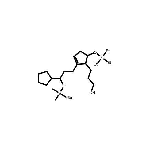 CC[Si](CC)(CC)OC1CC=C(CCC(O[Si](C)(C)C(C)(C)C)C2CCCC2)C1CCCO